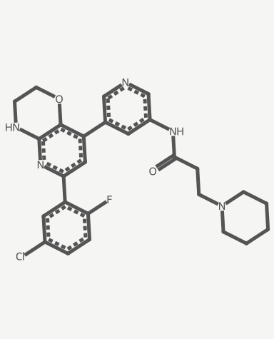 O=C(CCN1CCCCC1)Nc1cncc(-c2cc(-c3cc(Cl)ccc3F)nc3c2OCCN3)c1